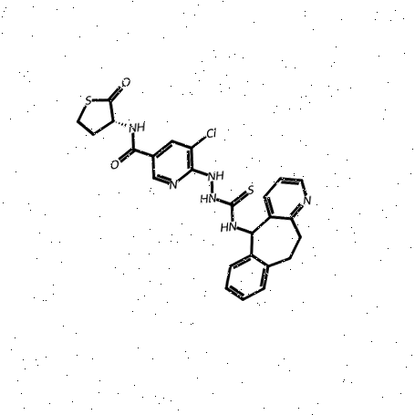 O=C(N[C@@H]1CCSC1=O)c1cnc(NNC(=S)NC2c3ccccc3CCc3ncccc32)c(Cl)c1